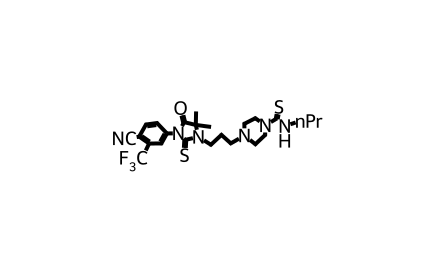 CCCNC(=S)N1CCN(CCCN2C(=S)N(c3ccc(C#N)c(C(F)(F)F)c3)C(=O)C2(C)C)CC1